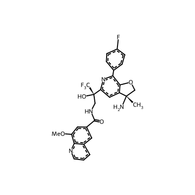 COc1cc(C(=O)NC[C@](O)(c2cc3c(c(-c4ccc(F)cc4)n2)OC[C@]3(C)N)C(F)(F)F)cc2cccnc12